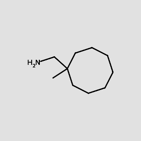 CC1(CN)CCCCCCC1